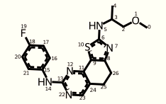 COCC(C)Nc1nc2c(s1)-c1nc(Nc3ccc(F)cc3)ncc1CC2